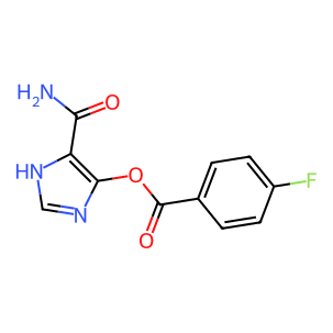 NC(=O)c1[nH]cnc1OC(=O)c1ccc(F)cc1